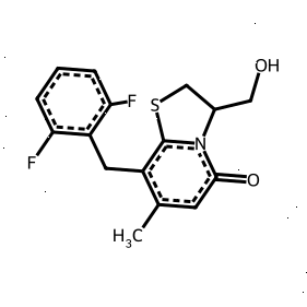 Cc1cc(=O)n2c(c1Cc1c(F)cccc1F)SCC2CO